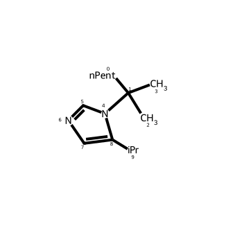 CCCCCC(C)(C)n1cncc1C(C)C